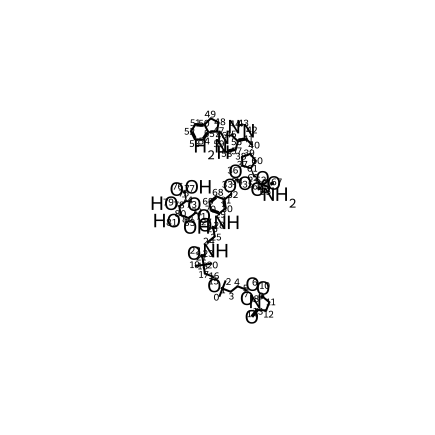 CC(C)(CCC(=O)ON1C(=O)CCC1=O)OCCC(C)(C)C(=O)NCCC(=O)Nc1cc(COC(=O)O[C@@H]2C[C@H](Cc3ncnc(N[C@H]4CCc5ccccc54)c3/C=C\N)C[C@H]2COS(N)(=O)=O)ccc1O[C@@H]1O[C@H](C(=O)O)[C@@H](O)[C@H](O)[C@H]1O